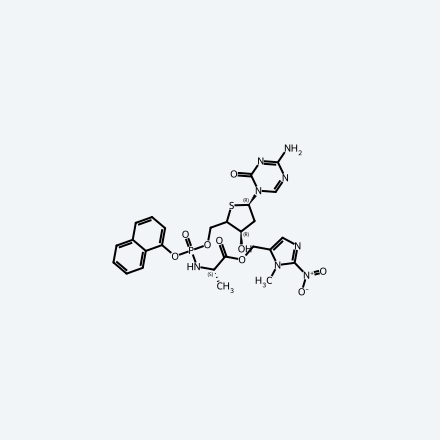 C[C@H](NP(=O)(OCC1S[C@@H](n2cnc(N)nc2=O)C[C@H]1O)Oc1cccc2ccccc12)C(=O)OCc1cnc([N+](=O)[O-])n1C